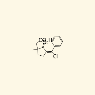 CC1(CC(=O)O)CCC(=C(Cl)c2ccccc2)C1=O